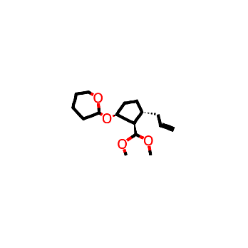 C=CC[C@H]1CC[C@@H](OC2CCCCO2)[C@@H]1C(OC)OC